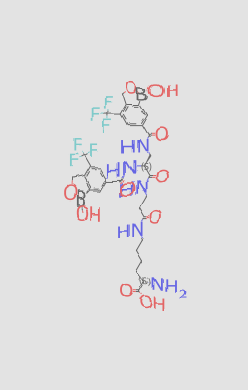 N[C@@H](CCCCNC(=O)CCNC(=O)[C@H](CNC(=O)c1cc2c(c(C(F)(F)F)c1)COB2O)NC(=O)c1cc2c(c(C(F)(F)F)c1)COB2O)C(=O)O